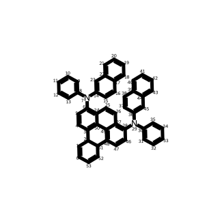 C1=CC2c3ccc(N(c4ccccc4)c4ccc5ccccc5c4)c4ccc5c(N(c6ccccc6)c6ccc7ccccc7c6)ccc(c5c34)C2C=C1